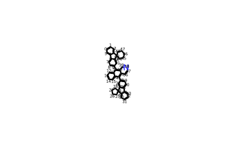 c1ccc2c(c1)-c1ccc(-c3c4ccccc4c(-c4ccc5c(c4)C4(CCCC4)c4ccccc4-5)c4ccncc34)cc1C21CCCCC1